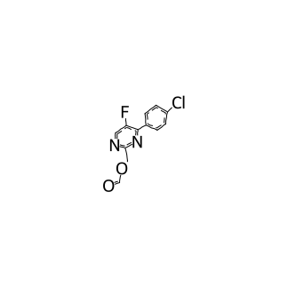 O=COCc1ncc(F)c(-c2ccc(Cl)cc2)n1